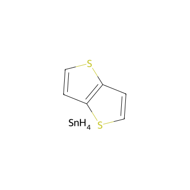 [SnH4].c1cc2sccc2s1